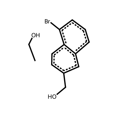 CCO.OCc1ccc2c(Br)cccc2c1